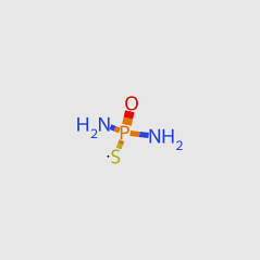 NP(N)(=O)[S]